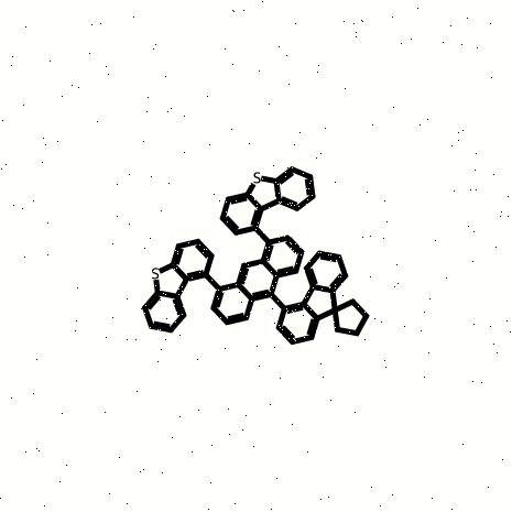 c1ccc2c(c1)-c1c(-c3c4cccc(-c5cccc6sc7ccccc7c56)c4cc4c(-c5cccc6sc7ccccc7c56)cccc34)cccc1C21CCCC1